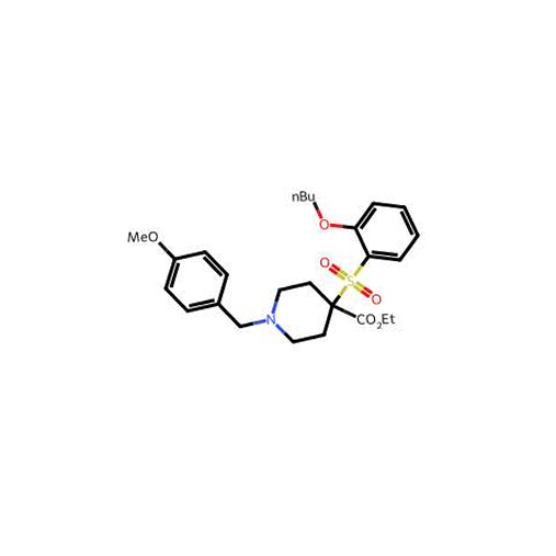 CCCCOc1ccccc1S(=O)(=O)C1(C(=O)OCC)CCN(Cc2ccc(OC)cc2)CC1